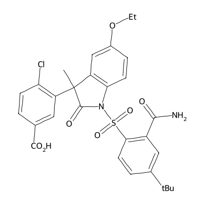 CCOc1ccc2c(c1)C(C)(c1cc(C(=O)O)ccc1Cl)C(=O)N2S(=O)(=O)c1ccc(C(C)(C)C)cc1C(N)=O